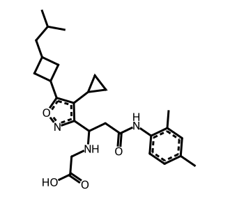 Cc1ccc(NC(=O)CC(NCC(=O)O)c2noc(C3CC(CC(C)C)C3)c2C2CC2)c(C)c1